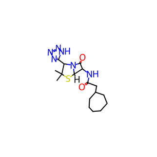 CC1(C)S[C@H]2C(NC(=O)CC3CCCCCC3)C(=O)N2C1c1nnn[nH]1